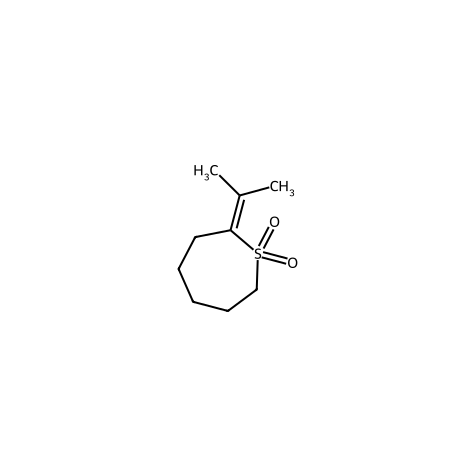 CC(C)=C1CCCCCS1(=O)=O